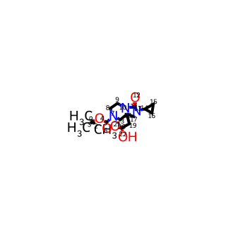 CC(C)(C)OC(=O)N1CCN2C(=O)N(C3CC3)CC2(CC(=O)O)C1